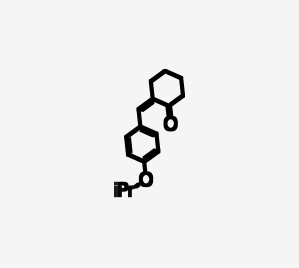 CC(C)Oc1ccc(/C=C2/CCCCC2=O)cc1